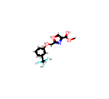 COC(=O)c1coc(COc2cccc(C(F)(F)F)c2)n1